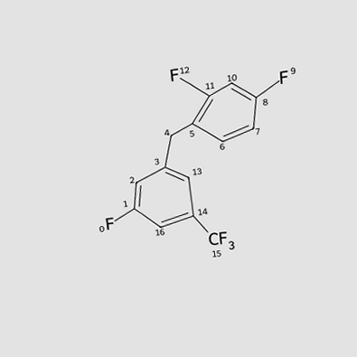 Fc1cc(Cc2ccc(F)cc2F)cc(C(F)(F)F)c1